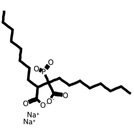 CCCCCCCCC(C(=O)[O-])C(CCCCCCCC)(C(=O)[O-])P(=O)=O.[Na+].[Na+]